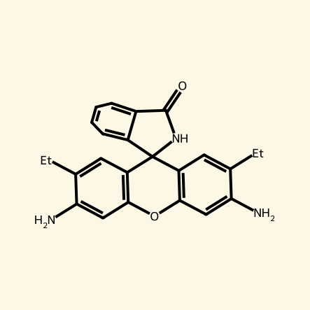 CCc1cc2c(cc1N)Oc1cc(N)c(CC)cc1C21NC(=O)c2ccccc21